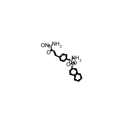 NN(N=O)C(=O)/C=C/c1ccc(N(N)S(=O)(=O)c2ccc3ccccc3c2)cc1